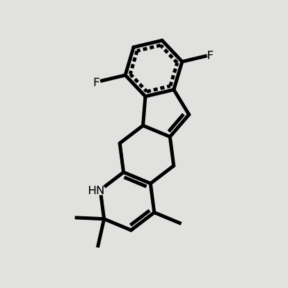 CC1=CC(C)(C)NC2=C1CC1=Cc3c(F)ccc(F)c3C1C2